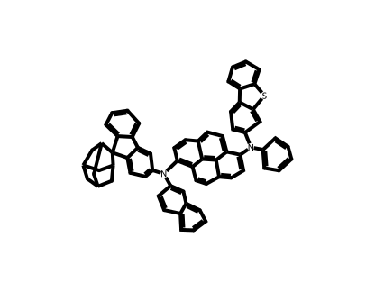 c1ccc(N(c2ccc3c(c2)sc2ccccc23)c2ccc3ccc4c(N(c5ccc6c(c5)-c5ccccc5C65C6CC7CC(C6)CC5C7)c5ccc6ccccc6c5)ccc5ccc2c3c54)cc1